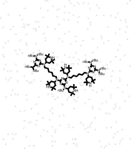 CCCCC(CCCC)c1nc(N(CCCC)CCCC)nc(N(CCCCCCN(c2nc(N(CCCC)C3CC(C)(C)NC(C)(C)C3)nc(N(CCCCCCN(c3nc(N(CCCC)CCCC)nc(N(CCCC)CCCC)n3)C3CC(C)(C)NC(C)(C)C3)C3CC(C)(C)NC(C)(C)C3)n2)C2CC(C)(C)NC(C)(C)C2)C2CC(C)(C)NC(C)(C)C2)n1